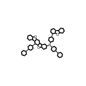 c1ccc(-c2ccc(-c3c4oc5ccc(N(c6ccc(-c7ccccc7)cc6)c6ccc(-c7cccc8c7oc7ccccc78)cc6)cc5c4cc4oc5ccccc5c34)cc2)cc1